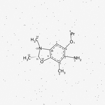 Cc1c(N)c(OC(C)C)cc2c1O[C@H](C)N2C